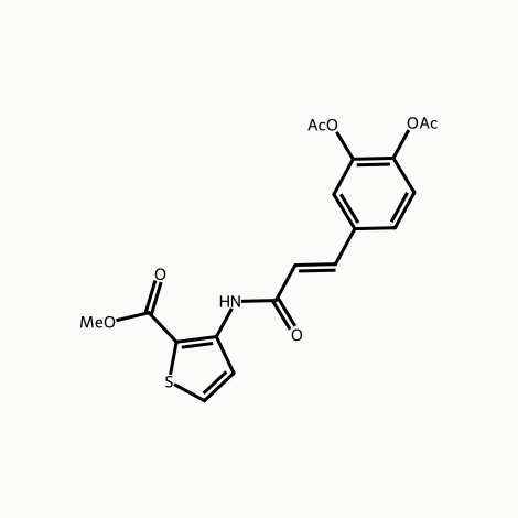 COC(=O)c1sccc1NC(=O)C=Cc1ccc(OC(C)=O)c(OC(C)=O)c1